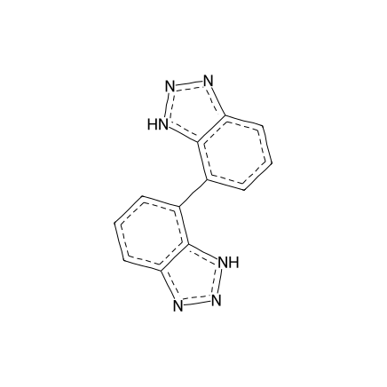 c1cc(-c2cccc3nn[nH]c23)c2[nH]nnc2c1